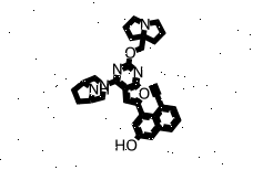 C#Cc1cccc2cc(O)cc(-c3cc4c(N5CC6CCC(C5)N6)nc(OCC56CCCN5CCC6)nc4o3)c12